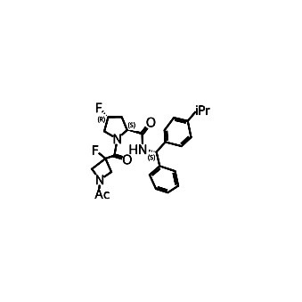 CC(=O)N1CC(F)(C(=O)N2C[C@H](F)C[C@H]2C(=O)N[C@@H](c2ccccc2)c2ccc(C(C)C)cc2)C1